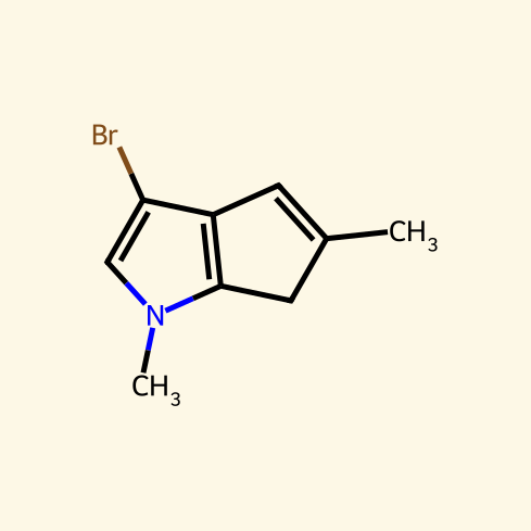 CC1=Cc2c(Br)cn(C)c2C1